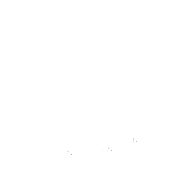 CCCCCCCC1(C2=CCCN(C)C2)C=NSN1